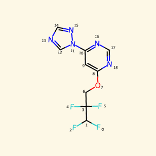 FC(F)C(F)(F)COc1cc(-n2cncn2)ncn1